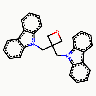 c1ccc2c(c1)c1ccccc1n2CC1(Cn2c3ccccc3c3ccccc32)COC1